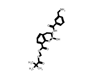 CC(C)(C)C(=O)OCOC(=O)c1cccc2c1OB(O)[C@@H](NC(=O)c1cccc(CN)c1)C2